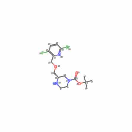 CC(C)(C)OC(=O)N1CCN[C@@H](COCc2nc(Br)ccc2F)C1